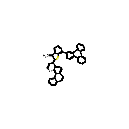 C=c1/c(=C(\C=C/C)c2ccc3ccc4ccccc4c3c2)sc2c(-c3ccc4c5ccccc5c5ccccc5c4c3)cccc12